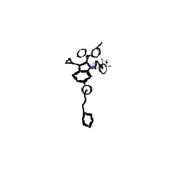 CCOC(=O)C1=C(C2CC2)c2ccc(OCCCc3ccccc3)cc2/C1=[N+](/C)[O-]